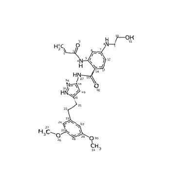 C=CC(=O)Nc1cc(NCCO)ccc1C(=O)Nc1cc(CCc2cc(OC)cc(OC)c2)[nH]n1